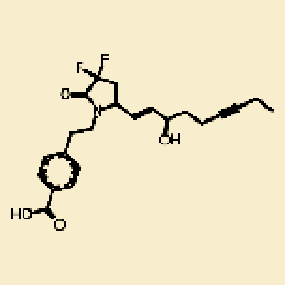 CCC#CCCC(O)C=CC1CC(F)(F)C(=O)N1CCc1ccc(C(=O)O)cc1